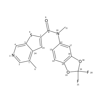 Cc1cncc2sc(C(=O)N(C)c3ccc4c(c3)OC(F)(F)O4)cc12